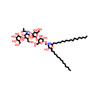 CCCCCCCCCCCCC/C=C/[C@@H](O)[C@H](CO[C@@H]1OC(CO)[C@@H](O[C@@H]2OC(CO)[C@H](O)[C@H](O[C@@H]3OC(CO)[C@@H](O)[C@H](O[C@@H]4OC(CO)[C@H](O)[C@H](O)C4O)C3NC(C)=O)C2O)[C@H](O)C1O)NC(=O)CCCCCCCCCCCCCCCCC